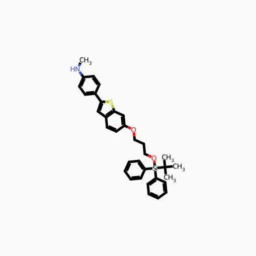 CNc1ccc(-c2cc3ccc(OCCCO[Si](c4ccccc4)(c4ccccc4)C(C)(C)C)cc3s2)cc1